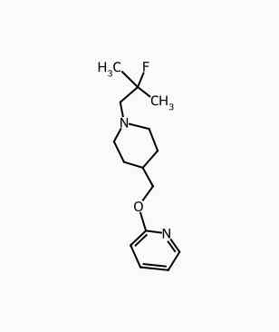 CC(C)(F)CN1CCC(COc2ccccn2)CC1